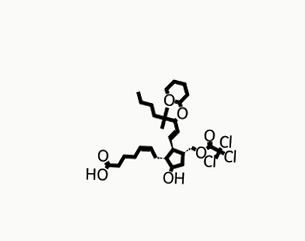 CCCCC(C)(C)C(/C=C/[C@H]1[C@H](COC(=O)C(Cl)(Cl)Cl)CC(O)[C@@H]1C/C=C\CCCC(=O)O)OC1CCCCO1